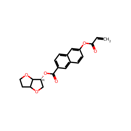 C=CC(=O)Oc1ccc2cc(C(=O)O[C@@H]3COC4CCOC43)ccc2c1